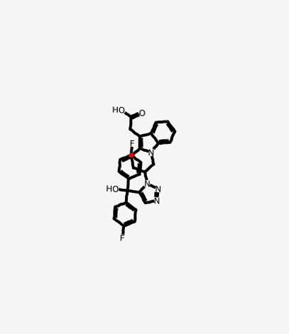 O=C(O)Cc1c2n(c3ccccc13)CC(n1nncc1C(O)(c1ccc(F)cc1)c1ccc(F)cc1)CC2